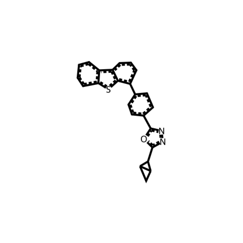 c1ccc2c(c1)sc1c(-c3ccc(-c4nnc(C5C6CC65)o4)cc3)cccc12